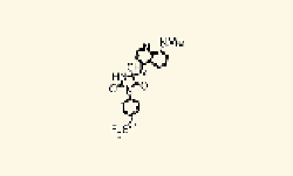 CNc1cccc2c(CC3(C)NC(=O)N(c4ccc(OC(F)(F)F)cc4)C3=O)ccnc12